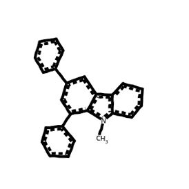 Cn1c2ccccc2c2cc(-c3ccccc3)cc(-c3ccccc3)c21